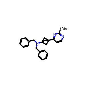 CSc1nccc(C23CC(N(Cc4ccccc4)Cc4ccccc4)(C2)C3)n1